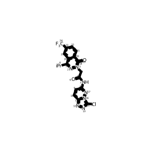 CC(C)c1nn(CC(=O)Nc2ccc3nnc(Cl)n3n2)c(=O)c2ccc(C(F)(F)F)cc12